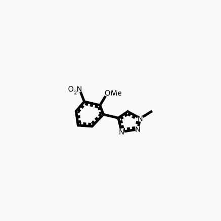 COc1c(-c2cn(C)nn2)cccc1[N+](=O)[O-]